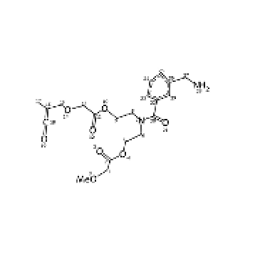 COCC(=O)OCCN(CCOC(=O)COCC(C)=C=O)C(=O)c1cccc(CN)c1